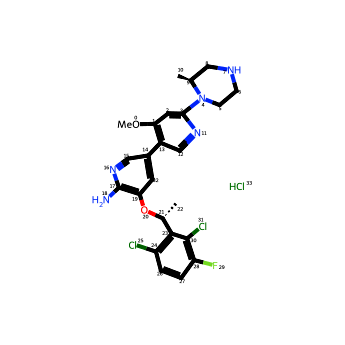 COc1cc(N2CCNC[C@@H]2C)ncc1-c1cnc(N)c(O[C@H](C)c2c(Cl)ccc(F)c2Cl)c1.Cl